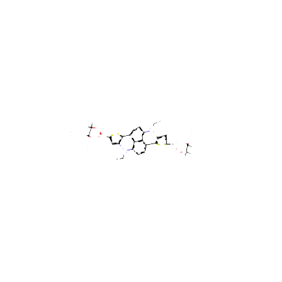 CC(C)CN1c2cc(B3OC(C)(C)C(C)(C)O3)sc2-c2ccc3c4c(ccc1c24)-c1sc(B2OC(C)(C)C(C)(C)O2)cc1N3CC(C)C